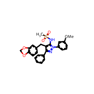 COc1cccc(-n2nc(-c3ccccc3)c(Cc3ccc4c(c3)OCO4)c2NS(C)(=O)=O)c1